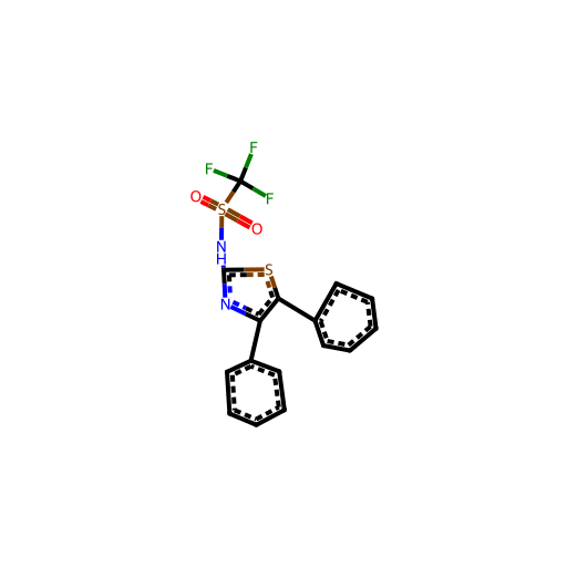 O=S(=O)(Nc1nc(-c2ccccc2)c(-c2ccccc2)s1)C(F)(F)F